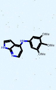 COc1cc(Nc2ccnc3[nH]ccc23)cc(OC)c1OC